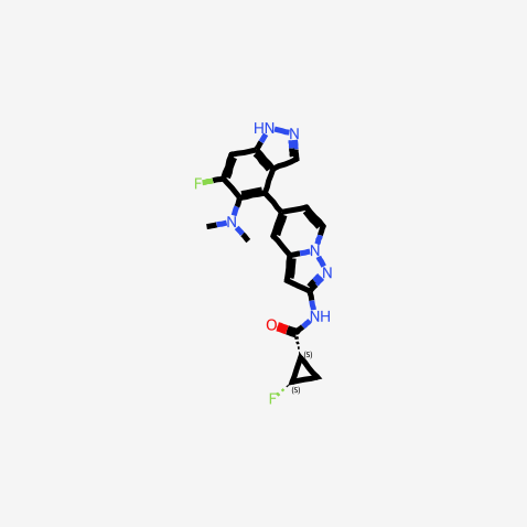 CN(C)c1c(F)cc2[nH]ncc2c1-c1ccn2nc(NC(=O)[C@@H]3C[C@@H]3F)cc2c1